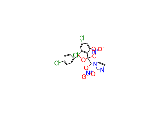 O=[N+]([O-])OC(n1ccnc1)C(OCc1ccc(Cl)cc1)(O[N+](=O)[O-])c1ccc(Cl)cc1Cl